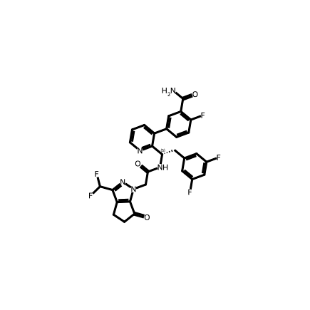 NC(=O)c1cc(-c2cccnc2[C@H](Cc2cc(F)cc(F)c2)NC(=O)Cn2nc(C(F)F)c3c2C(=O)CC3)ccc1F